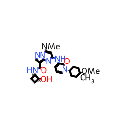 CNc1cc(Nc2cccn([C@H]3CC[C@](C)(OC)CC3)c2=O)nc2c(C(=O)N[C@H]3CC[C@@H]3O)cnn12